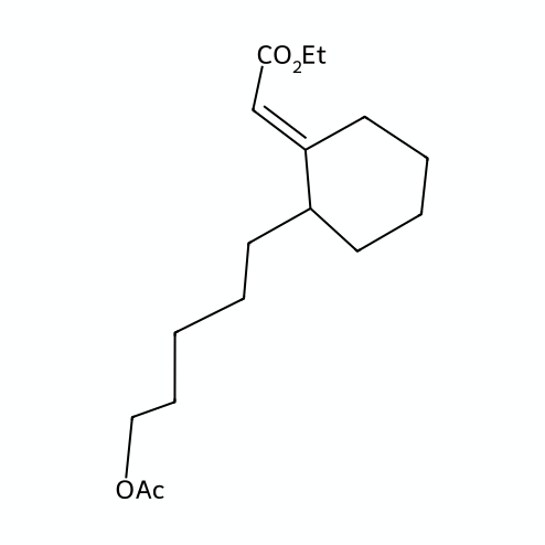 CCOC(=O)C=C1CCCCC1CCCCCOC(C)=O